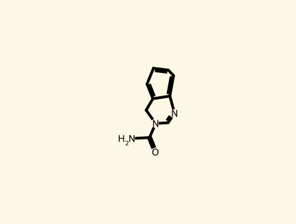 NC(=O)N1C=Nc2ccccc2C1